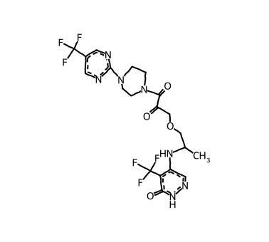 CC(COCC(=O)C(=O)N1CCN(c2ncc(C(F)(F)F)cn2)CC1)Nc1cn[nH]c(=O)c1C(F)(F)F